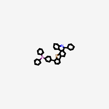 c1ccc(-c2nc3ccccc3c3c2ccc2c4cccc(-c5ccc(P(c6ccccc6)c6ccccc6)cc5)c4sc23)cc1